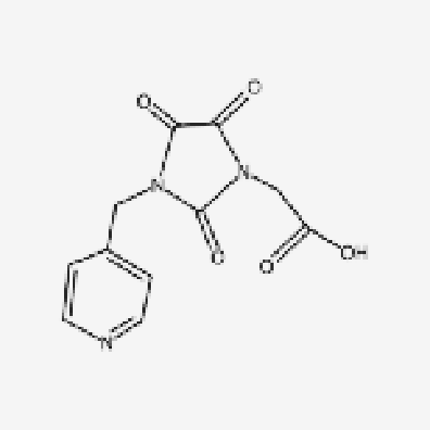 O=C(O)CN1C(=O)C(=O)N(Cc2ccncc2)C1=O